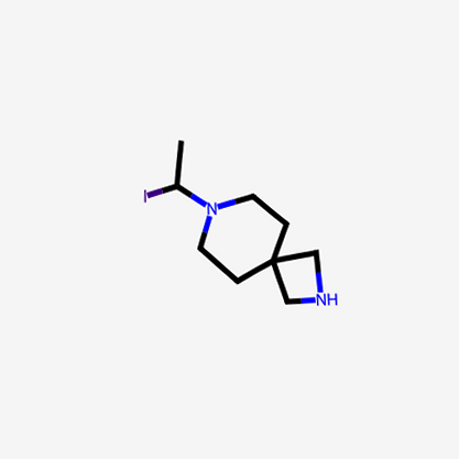 CC(I)N1CCC2(CC1)CNC2